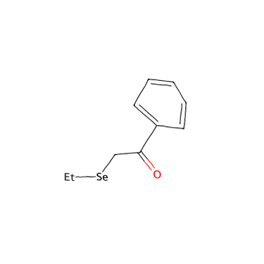 CC[Se]CC(=O)c1ccccc1